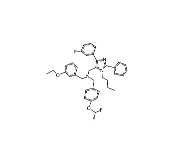 CCCCn1c(-c2ccccc2)nc(-c2cccc(F)c2)c1CN(Cc1ccc(OC(F)F)cc1)Cc1cccc(OCC)c1